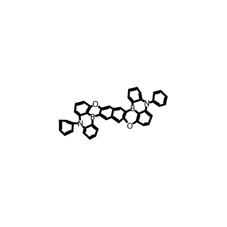 c1ccc(N2c3ccccc3B3c4cc5cc6c(cc5cc4Oc4cccc2c43)B2c3ccccc3N(c3ccccc3)c3cccc(c32)O6)cc1